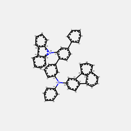 c1ccc(-c2ccc(-c3cccc(N(c4ccccc4)c4ccc5c(c4)-c4cccc6cccc-5c46)c3)c(-n3c4ccccc4c4ccccc43)c2)cc1